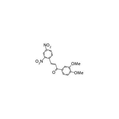 COc1ccc(C(=O)C=Cc2ccc([N+](=O)[O-])cc2[N+](=O)[O-])cc1OC